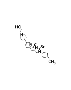 CCc1ccc(N2CC(=Cc3ccc(N4CCN(CCO)CC4)cc3)N(C)C2=[Se])cc1